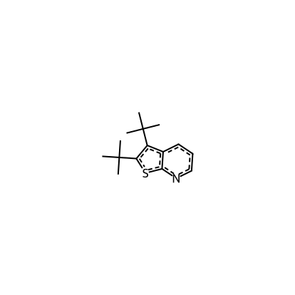 CC(C)(C)c1sc2ncccc2c1C(C)(C)C